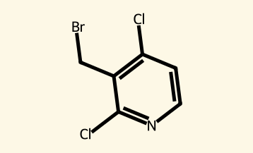 Clc1ccnc(Cl)c1CBr